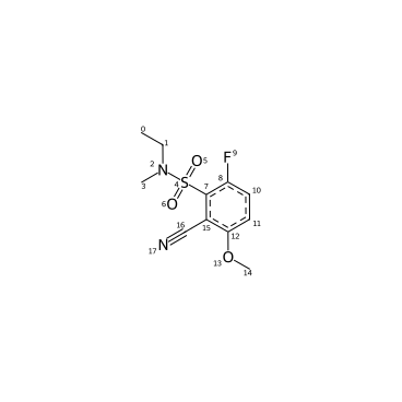 CCN(C)S(=O)(=O)c1c(F)ccc(OC)c1C#N